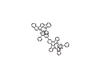 c1ccc(-c2nc(-c3ccccc3)nc(-n3c4ccccc4c4c5cc(-c6ccc7nc(-n8c9ccc%10ccccc%10c9c9ccc%10c%11ccccc%11n(-c%11ccccc%11)c%10c98)nc(-c8ccccc8)c7c6)ccc5c5c6ccccc6n(-c6ccccc6)c5c43)n2)cc1